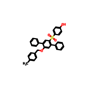 Cc1ccc(COc2cc(-c3ccccc3)c(S(=O)(=O)c3ccc(O)cc3)cc2-c2ccccc2)cc1